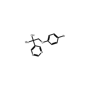 CC(C)(C)C(O)(COc1ccc(Br)cc1)c1cncnc1